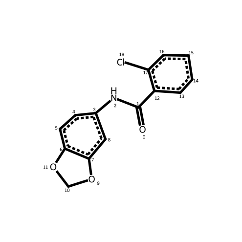 O=C(Nc1ccc2c(c1)OCO2)c1ccccc1Cl